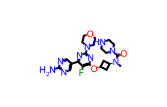 CN(C(=O)N1CCNCC1)[C@H]1C[C@H](Oc2nc(N3CCOCC3)nc(-c3cnc(N)nc3)c2F)C1